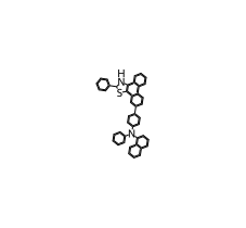 c1ccc(C2Nc3c(c4cc(-c5ccc(N(c6ccccc6)c6cccc7ccccc67)cc5)ccc4c4ccccc34)S2)cc1